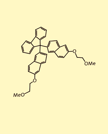 COCCOc1ccc2cc(C3(c4ccc5cc(OCCOC)ccc5c4)c4ccccc4-c4ccccc43)ccc2c1